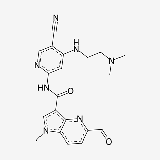 CN(C)CCNc1cc(NC(=O)c2cn(C)c3ccc(C=O)nc23)ncc1C#N